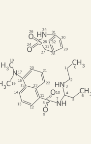 CCCNC(CC)NS(=O)(=O)c1cccc2c(N(C)C)cccc12.O=S1(=O)Cc2ccc(cc2)N1